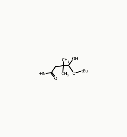 CC(C)(C)OC(O)C(C)(C)CC([NH])=O